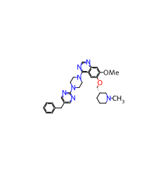 COc1cc2ncnc(N3CCN(c4ncc(Cc5ccccc5)cn4)CC3)c2cc1OC[C@H]1CCCN(C)C1